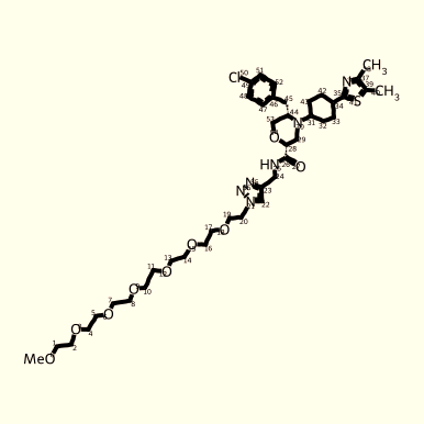 COCCOCCOCCOCCOCCOCCOCCn1cc(CNC(=O)[C@H]2CN(C3CCC(c4nc(C)c(C)s4)CC3)[C@@H](Cc3ccc(Cl)cc3)CO2)nn1